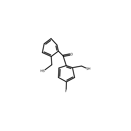 O=C(c1ccccc1CS)c1ccc(F)cc1CS